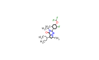 CCC(CC)c1cc(C)n2nc(-c3cc(F)c(OC(F)F)cc3C)n(CC)c(=O)c12